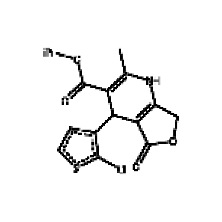 CC1=C(C(=O)OC(C)C)C(c2ccsc2Cl)C2=C(COC2=O)N1